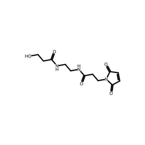 O=C(CCO)NCCNC(=O)CCN1C(=O)C=CC1=O